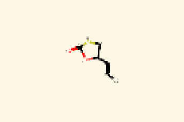 CC/C=C/C1CSC(=O)O1